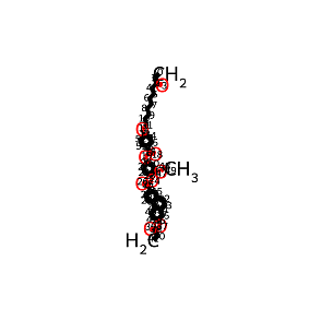 C=CC(=O)CCCCCCCCOc1ccc(C(=O)Oc2ccc(OC(=O)c3ccc4c(ccc5cc(OC(=O)C=C)ccc54)c3)c(OCC)c2)cc1